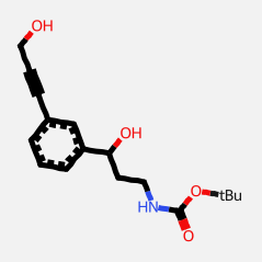 CC(C)(C)OC(=O)NCCC(O)c1cccc(C#CCO)c1